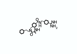 C[C@@H]1Nc2cc(C(=O)NCc3ccc(C(=N)N)cc3)ccc2CN(CCc2ccccc2)C1=O